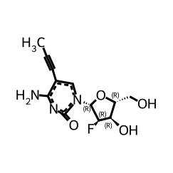 CC#Cc1cn([C@@H]2O[C@H](CO)[C@@H](O)[C@H]2F)c(=O)nc1N